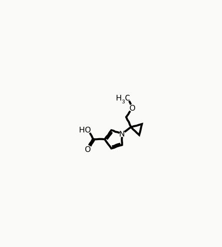 COCC1(n2ccc(C(=O)O)c2)CC1